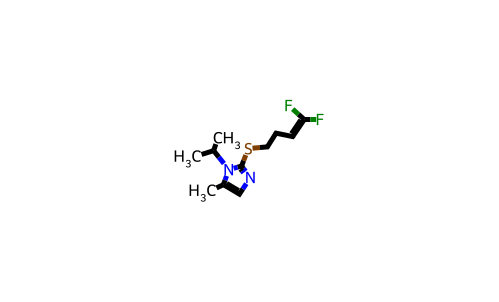 Cc1cnc(SCCC=C(F)F)n1C(C)C